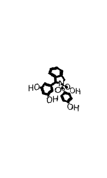 O=S(=O)(c1ccc(O)cc1O)N1Cc2ccccc2C1c1cc(O)cc(O)c1